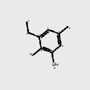 CCc1cc(C)cc(O)c1C